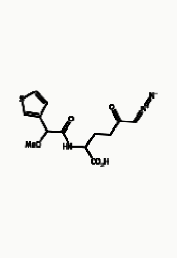 COC(C(=O)NC(CCC(=O)C=[N+]=[N-])C(=O)O)c1ccsc1